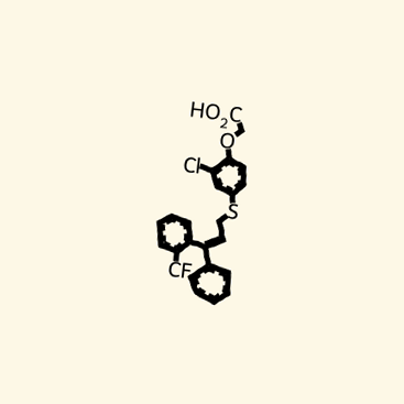 O=C(O)COc1ccc(SCC=C(c2ccccc2)c2ccccc2C(F)(F)F)cc1Cl